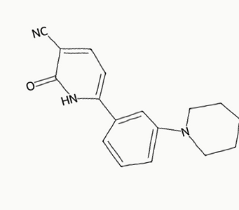 N#Cc1ccc(-c2cccc(N3CCCCC3)c2)[nH]c1=O